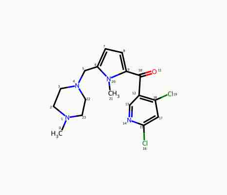 CN1CCN(Cc2ccc(C(=O)c3cnc(Cl)cc3Cl)n2C)CC1